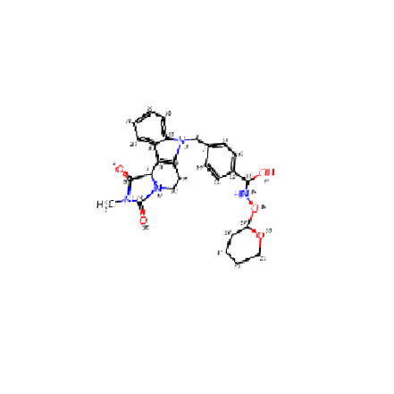 CN1C(=O)C2c3c(n(Cc4ccc(C(O)NOC5CCCCO5)cc4)c4ccccc34)CCN2C1=O